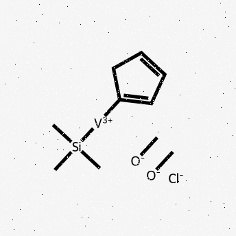 C[O-].C[O-].C[Si](C)(C)[V+3][C]1=CC=CC1.[Cl-]